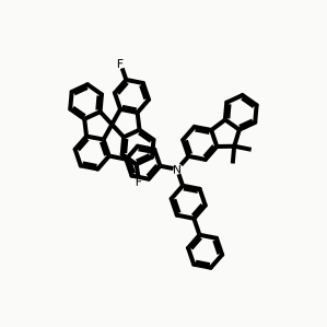 CC1(C)c2ccccc2-c2ccc(N(c3ccc(-c4ccccc4)cc3)c3ccc(-c4cccc5c4C4(c6cc(F)ccc6-c6ccc(F)cc64)c4ccccc4-5)cc3)cc21